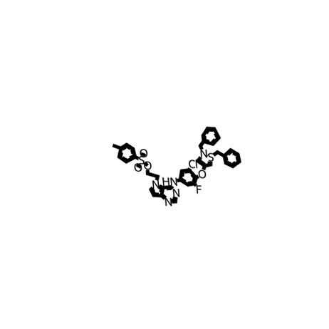 Cc1ccc(S(=O)(=O)OCCn2ccc3ncnc(Nc4cc(F)c(OC5=CN(Cc6ccccc6)S(Cc6ccccc6)=C5)c(Cl)c4)c32)cc1